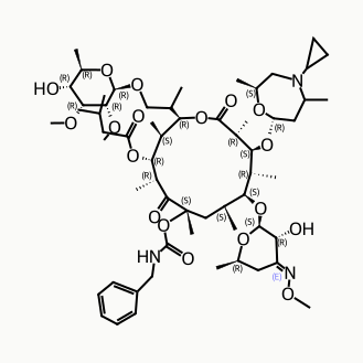 CO/N=C1\C[C@@H](C)O[C@@H](O[C@@H]2[C@@H](C)[C@H](O[C@H]3CC(C)N(C4CC4)C[C@H](C)O3)[C@@H](C)C(=O)O[C@H](C(C)CO[C@@H]3O[C@H](C)[C@@H](O)[C@@H](OC)[C@H]3OC)[C@H](C)[C@@H](OC(=O)CC(C)C)[C@@H](C)C(=O)[C@@](C)(OC(=O)NCc3ccccc3)C[C@@H]2C)[C@@H]1O